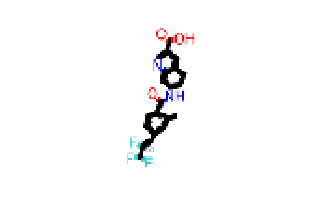 Cc1cc(/C=C(\F)C(F)F)ccc1C(=O)Nc1ccc2cc(C(=O)O)cnc2c1